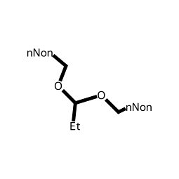 CCCCCCCCCCOC(CC)OCCCCCCCCCC